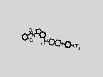 O=C(NC1CCc2ccc(C(=O)N3CCC4(CC3)CCN(c3ccc(C(F)(F)F)cc3)CC4)cc21)c1ccccc1Cl